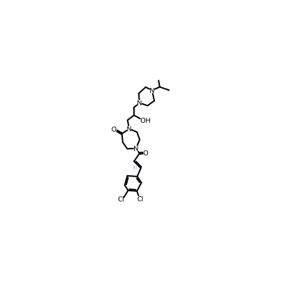 CC(C)N1CCN(CC(O)CN2CCN(C(=O)/C=C/c3ccc(Cl)c(Cl)c3)CCC2=O)CC1